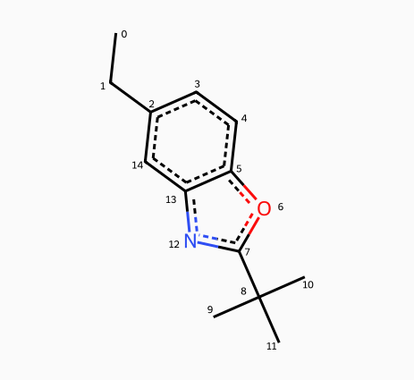 CCc1ccc2oc(C(C)(C)C)nc2c1